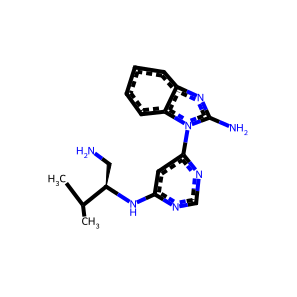 CC(C)[C@@H](CN)Nc1cc(-n2c(N)nc3ccccc32)ncn1